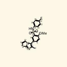 COc1ccc(-c2c(C)nc3sccn23)cc1S(=O)(=O)Nc1ccc(F)cc1